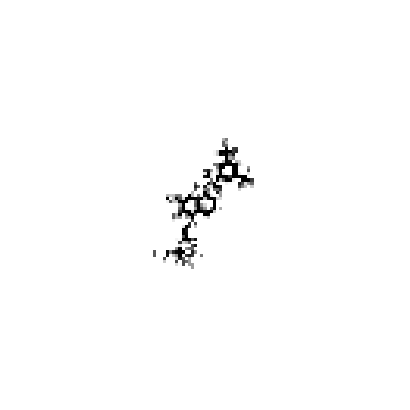 CC(C)(C)OC(=O)COc1c(F)c(Cl)cc2c1CCCC2NS(=O)(=O)c1cc(C(F)(F)F)cc(C(F)(F)F)c1